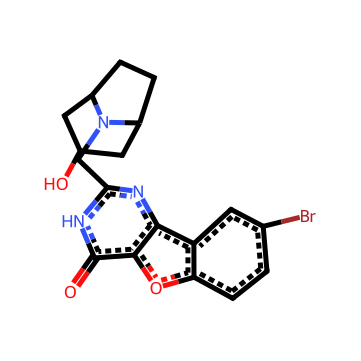 O=c1[nH]c(CN2C3CCC2CC(O)C3)nc2c1oc1ccc(Br)cc12